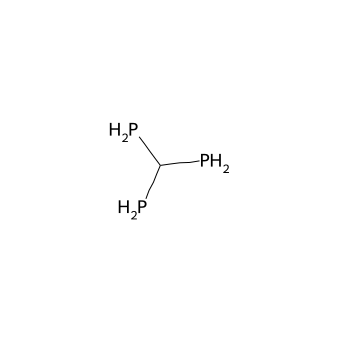 PC(P)P